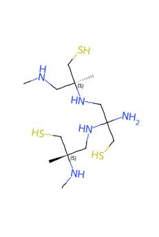 CNC[C@@](C)(CS)NCC(N)(CS)NC[C@@](C)(CS)NC